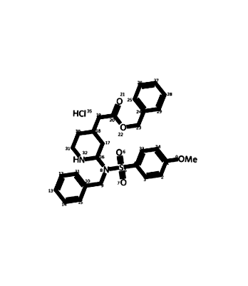 COc1ccc(S(=O)(=O)N(Cc2ccccc2)C2CC(CC(=O)OCc3ccccc3)CCN2)cc1.Cl